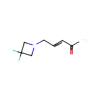 CSC(=O)/C=C/CN1CC(F)(F)C1